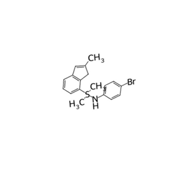 CC1=Cc2cccc(S(C)(C)Nc3ccc(Br)cc3)c2C1